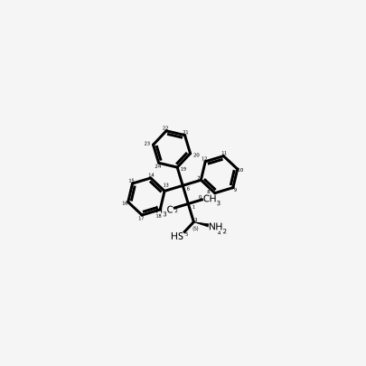 CC(C)([C@@H](N)S)C(c1ccccc1)(c1ccccc1)c1ccccc1